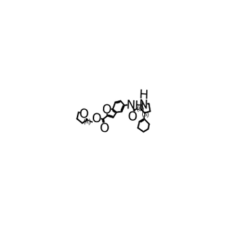 O=C(OC[C@H]1CCCO1)c1cc2cc(NC(=O)[C@H]3NCC[C@H]3C3=CCCCC3)ccc2o1